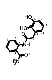 NC(=O)c1ccccc1NC(=O)Cc1cccc(O)c1O